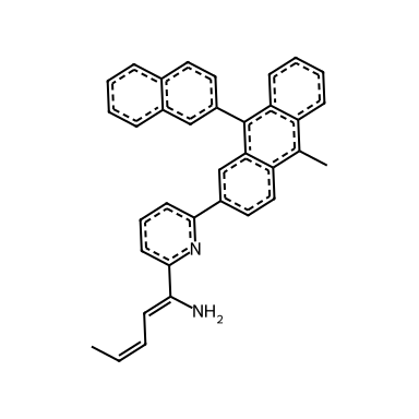 C/C=C\C=C(/N)c1cccc(-c2ccc3c(C)c4ccccc4c(-c4ccc5ccccc5c4)c3c2)n1